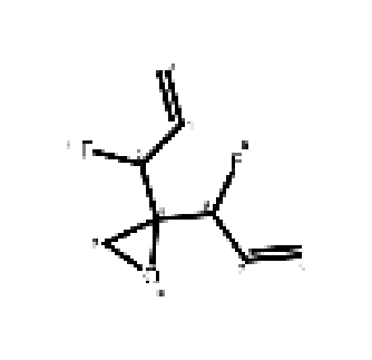 C=CC(F)C1(C(F)C=C)CO1